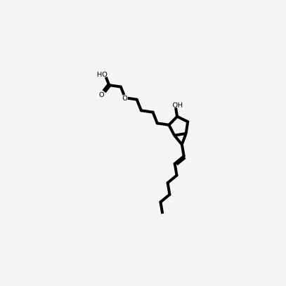 CCCCCC=CC1C2CC(O)C(CCCCOCC(=O)O)C12